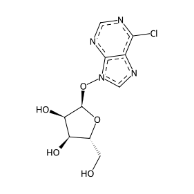 OC[C@H]1O[C@H](On2cnc3c(Cl)ncnc32)[C@H](O)[C@@H]1O